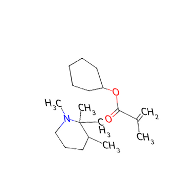 C=C(C)C(=O)OC1CCCCC1.CC1CCCN(C)C1(C)C